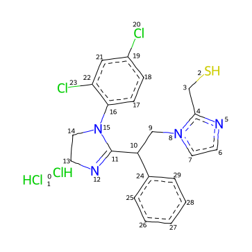 Cl.Cl.SCc1nccn1CC(C1=NCCN1c1ccc(Cl)cc1Cl)c1ccccc1